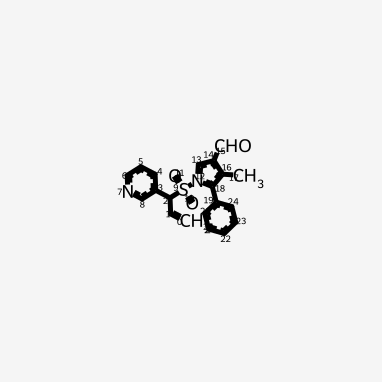 C=CC(c1cccnc1)S(=O)(=O)n1cc(C=O)c(C)c1-c1ccccc1